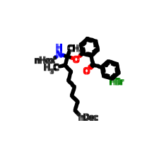 Br.CCCCCCCCCCCCCCCCC(C)C(C)(NCCCCCC)Oc1ccccc1C(=O)c1ccccc1